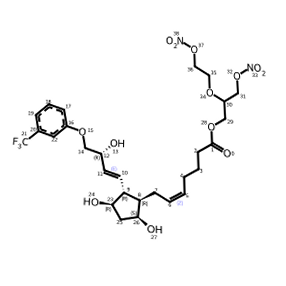 O=C(CCC/C=C\C[C@@H]1[C@@H](/C=C/[C@@H](O)COc2cccc(C(F)(F)F)c2)[C@H](O)C[C@@H]1O)OCC(CO[N+](=O)[O-])OCCO[N+](=O)[O-]